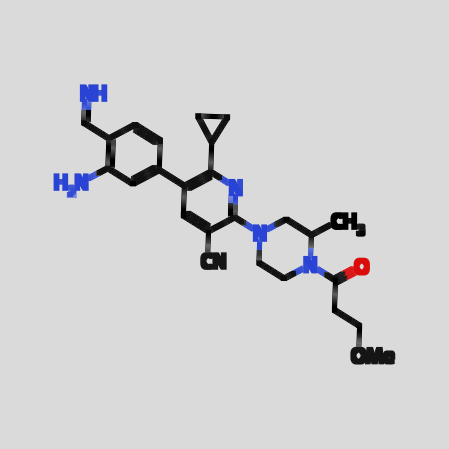 COCCC(=O)N1CCN(c2nc(C3CC3)c(-c3ccc(C=N)c(N)c3)cc2C#N)CC1C